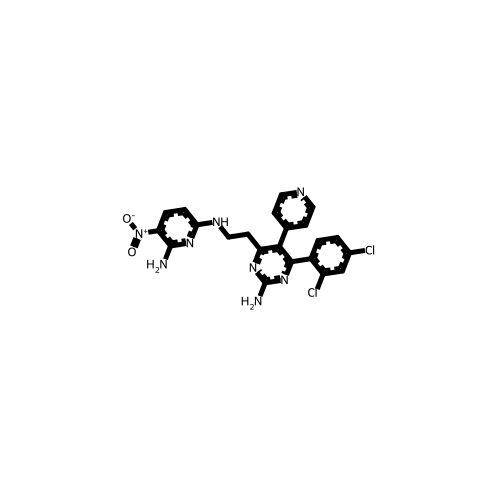 Nc1nc(CCNc2ccc([N+](=O)[O-])c(N)n2)c(-c2ccncc2)c(-c2ccc(Cl)cc2Cl)n1